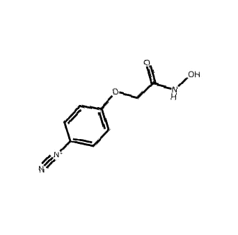 N#[N+]c1ccc(OCC(=O)NO)cc1